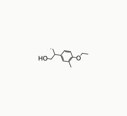 [CH2]C(CO)c1ccc(OCC)c(C)c1